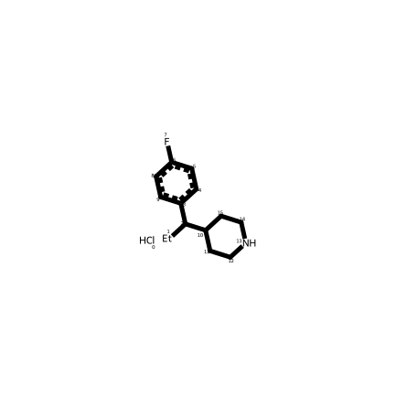 Cl.[CH2]CC(c1ccc(F)cc1)C1CCNCC1